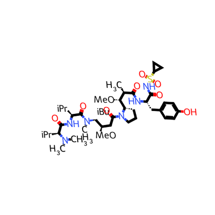 CC[C@H](C)[C@@H]([C@@H](CC(=O)N1CCC[C@H]1[C@H](OC)[C@@H](C)C(=O)N[C@@H](Cc1ccc(O)cc1)C(=O)NS(=O)(=O)C1CC1)OC)N(C)C(=O)[C@@H](NC(=O)[C@H](C(C)C)N(C)C)C(C)C